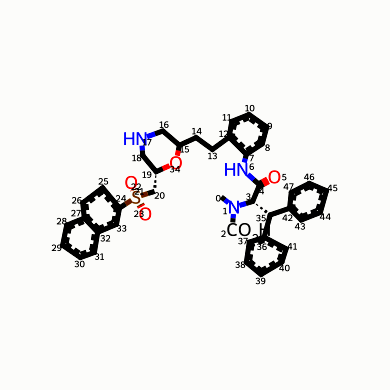 CN(C(=O)O)[C@H](C(=O)Nc1ccccc1CCC1CNC[C@@H](CS(=O)(=O)c2ccc3ccccc3c2)O1)C(c1ccccc1)c1ccccc1